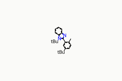 Cc1ccc(C(C)(C)C)cc1-c1nc2ccccc2n1C(C)(C)C